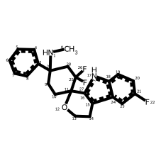 CNC1(c2ccccc2)CCC2(OCCc3c2[nH]c2ccc(F)cc32)C(F)(F)C1